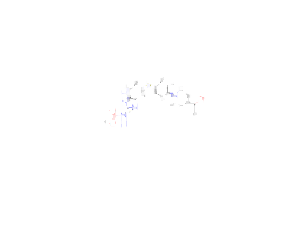 COC(=O)Nc1nc2cc(Sc3ccc(N4CCC(C(C)=O)CC4)cc3)ccc2[nH]1